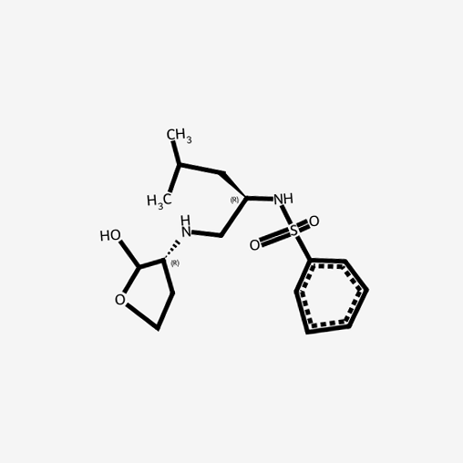 CC(C)C[C@H](CN[C@@H]1CCOC1O)NS(=O)(=O)c1ccccc1